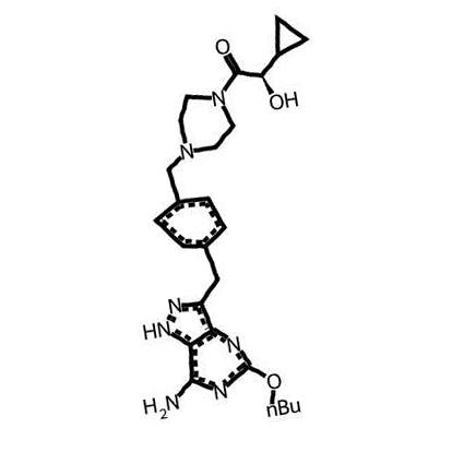 CCCCOc1nc(N)c2[nH]nc(Cc3ccc(CN4CCN(C(=O)[C@H](O)C5CC5)CC4)cc3)c2n1